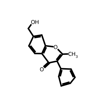 Cc1oc2cc(CO)ccc2c(=O)c1-c1ccccc1